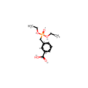 CCOP(=O)(Cc1cccc(C(=O)O)c1)OCC